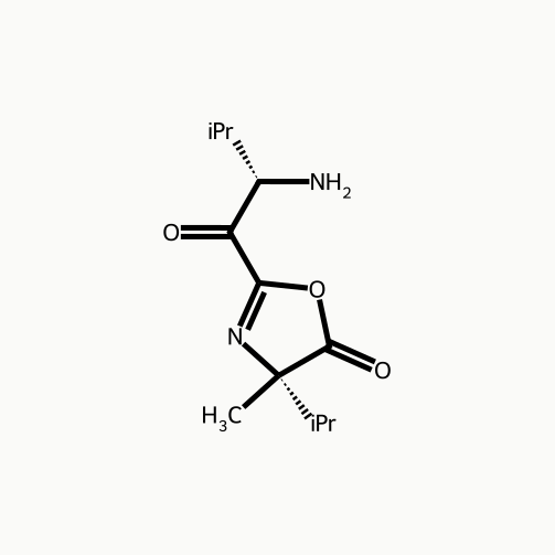 CC(C)[C@H](N)C(=O)C1=N[C@@](C)(C(C)C)C(=O)O1